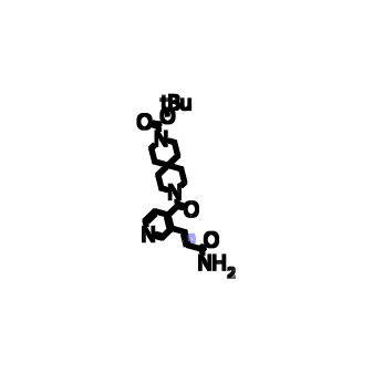 CC(C)(C)OC(=O)N1CCC2(CC1)CCN(C(=O)c1ccncc1/C=C/C(N)=O)CC2